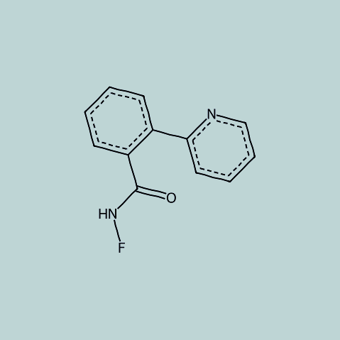 O=C(NF)c1ccccc1-c1ccccn1